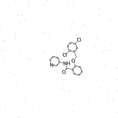 O=C(Nc1cccnc1)c1ccccc1OCc1cc(Cl)ccc1Cl